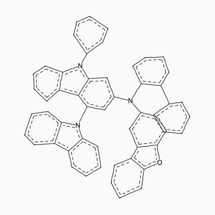 c1ccc(-c2ccccc2N(c2ccc3oc4ccccc4c3c2)c2cc(-n3c4ccccc4c4ccccc43)c3c4ccccc4n(-c4ccccc4)c3c2)cc1